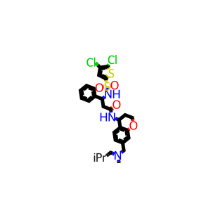 CC(C)CN(C)Cc1ccc2c(c1)OCCC2NC(=O)CC(NS(=O)(=O)c1cc(Cl)c(Cl)s1)c1ccccc1